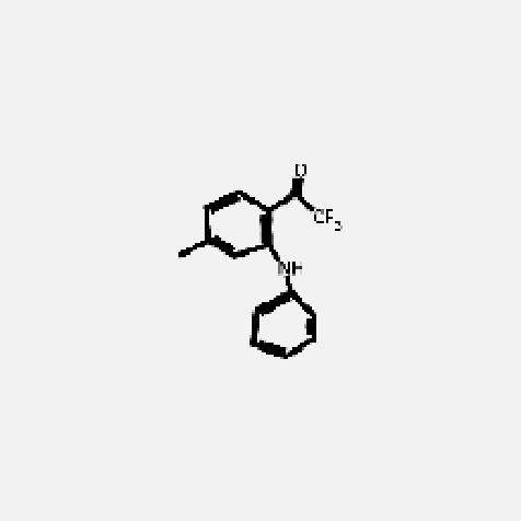 Cc1ccc(C(=O)C(F)(F)F)c(Nc2ccccc2)c1